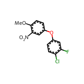 COc1ccc(Oc2ccc(Cl)c(F)c2)cc1[N+](=O)[O-]